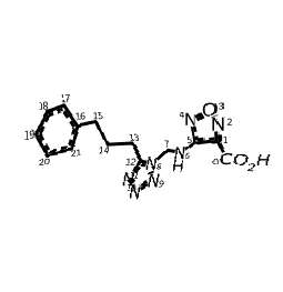 O=C(O)c1nonc1NCn1nnnc1CCCc1ccccc1